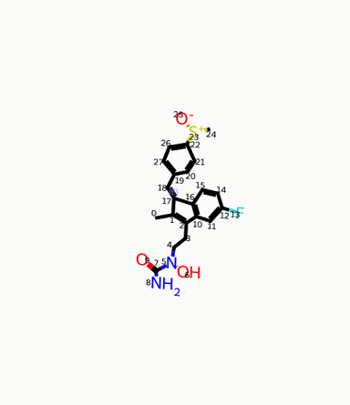 CC1=C(CCN(O)C(N)=O)c2cc(F)ccc2/C1=C\c1ccc([S+](C)[O-])cc1